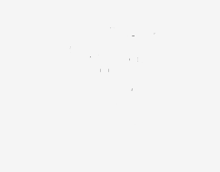 CCCCCC1OC(C)(C)C=CC(C)(C)O1